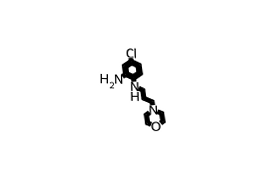 Nc1cc(Cl)ccc1NCCCN1CCOCC1